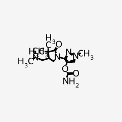 CN(C)CC1CN(c2nn(C)cc2OC(N)=O)C(=O)C1(C)C